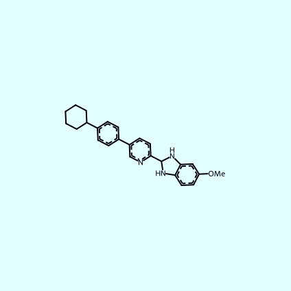 COc1ccc2c(c1)NC(c1ccc(-c3ccc(C4CCCCC4)cc3)cn1)N2